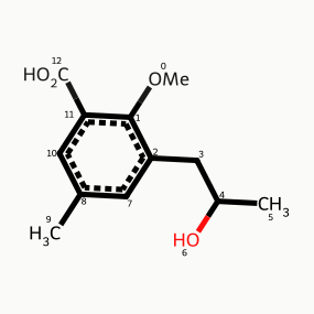 COc1c(CC(C)O)cc(C)cc1C(=O)O